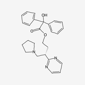 O=C(OCC[C@@H](CN1CCCC1)c1ncccn1)C(O)(c1ccccc1)c1ccccc1